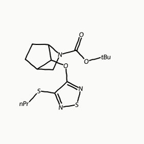 CCCSc1nsnc1OC1C2CCC1N(C(=O)OC(C)(C)C)C2